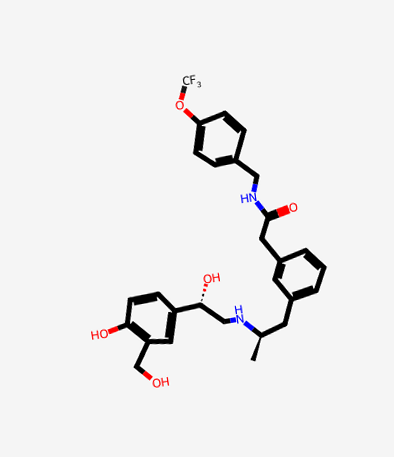 C[C@H](Cc1cccc(CC(=O)NCc2ccc(OC(F)(F)F)cc2)c1)NC[C@@H](O)c1ccc(O)c(CO)c1